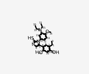 CCc1cc(-c2cnc(S)n2-c2ccc(OC)c(N(CC)CC)c2)c(O)cc1O